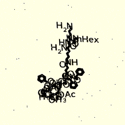 CCCCCCNC(=O)C(CCCCN)NC(=O)C(N)CCCCNC(=O)CCC(=O)O[C@@H](C(=O)OC1CC2C[C@@](O)(C1)[C@H](OC(=O)c1ccccc1)C1[C@@]3(OC(C)=O)CO[C@@H]3C[C@H](O)[C@@]1(C)C(=O)[C@@H]2OC(C)=O)C(NC(=O)c1ccccc1)c1ccccc1